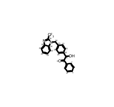 O=C(c1ccccc1)C(O)c1ccc(Cn2c(C(F)(F)F)nc3ccccc32)cc1